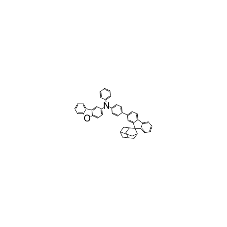 c1ccc(N(c2ccc(-c3ccc4c(c3)C3(c5ccccc5-4)C4CC5CC(C4)CC3C5)cc2)c2ccc3oc4ccccc4c3c2)cc1